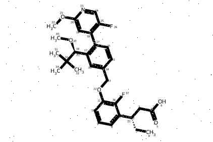 CC[C@@H](CC(=O)O)c1cccc(OCc2ccc(-c3cc(OC)ncc3F)c([C@H](OC)C(C)(C)C)c2)c1F